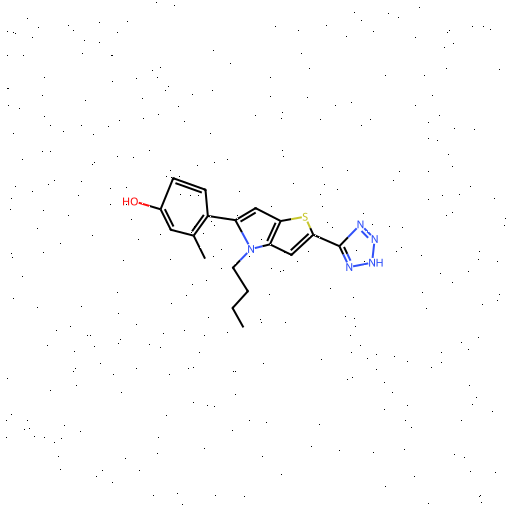 CCCCn1c(-c2ccc(O)cc2C)cc2sc(-c3nn[nH]n3)cc21